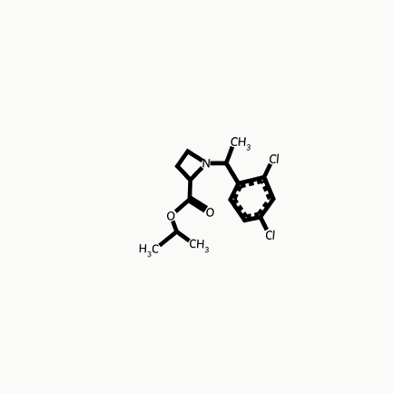 CC(C)OC(=O)C1CCN1C(C)c1ccc(Cl)cc1Cl